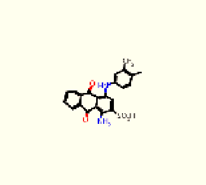 Cc1ccc(Nc2cc(S(=O)(=O)O)c(N)c3c2C(=O)c2ccccc2C3=O)cc1C(F)(F)F